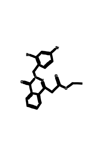 CCOC(=O)Cc1nn(Cc2ccc(Br)cc2Br)c(=O)c2ccccc12